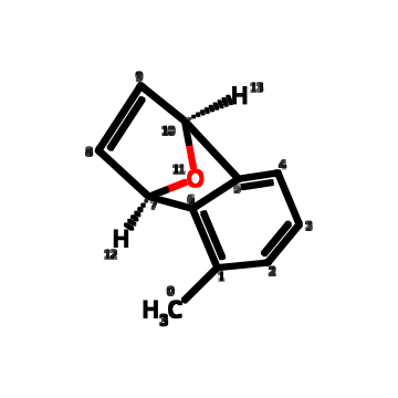 Cc1cccc2c1[C@H]1C=C[C@@H]2O1